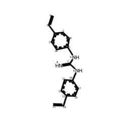 C=Cc1ccc(NC(=N)Nc2ccc(C=C)cc2)cc1